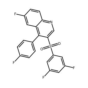 O=S(=O)(c1cc(F)cc(F)c1)c1cnc2ccc(F)cc2c1-c1ccc(F)cc1